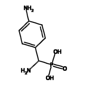 Nc1ccc(C(N)P(=O)(O)O)cc1